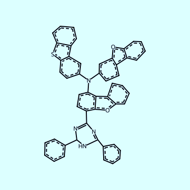 c1ccc(C2=NC(c3ccc(N(c4ccc5c(c4)oc4ccccc45)c4ccc5sc6ccccc6c5c4)c4c3oc3ccccc34)=NC(c3ccccc3)N2)cc1